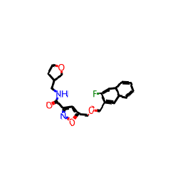 O=C(NCC1CCOC1)c1cc(COCC2=CC3C=CC=CC3C=C2F)on1